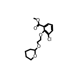 COC(=O)c1cccc(Cl)c1OCCOC1CCCCO1